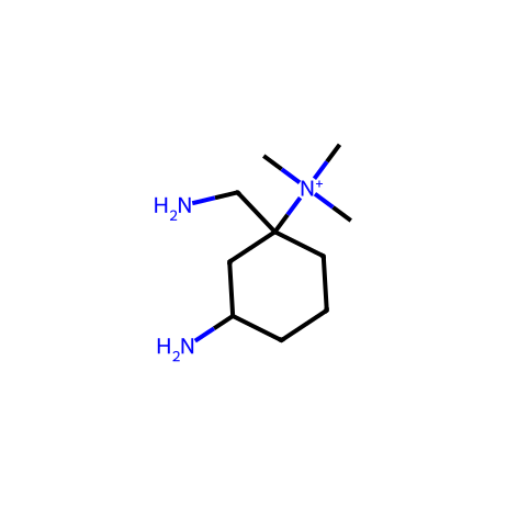 C[N+](C)(C)C1(CN)CCCC(N)C1